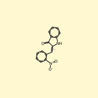 O=C1/C(=C\c2ccccc2[N+](=O)[O-])Nc2ccccc21